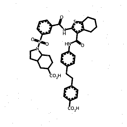 O=C(O)c1ccc(CCc2ccc(NC(=O)c3c(NC(=O)c4cccc(S(=O)(=O)N5CCC6CC(C(=O)O)CCC65)c4)sc4c3CCCC4)cc2)cc1